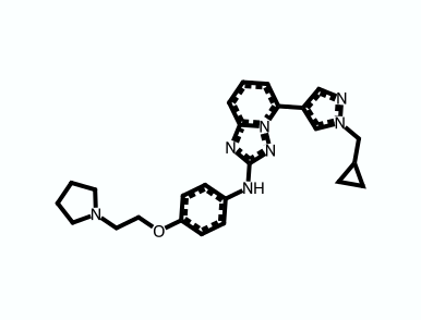 c1cc(-c2cnn(CC3CC3)c2)n2nc(Nc3ccc(OCCN4CCCC4)cc3)nc2c1